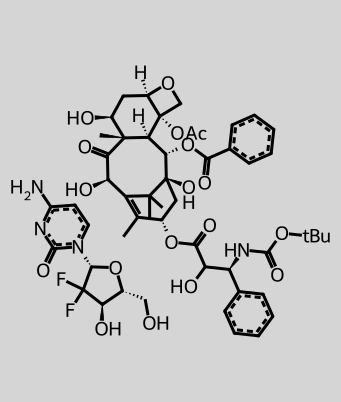 CC(=O)O[C@@]12CO[C@@H]1C[C@H](O)[C@@]1(C)C(=O)[C@H](O)C3=C(C)[C@@H](OC(=O)C(O)[C@@H](NC(=O)OC(C)(C)C)c4ccccc4)C[C@@](O)([C@@H](OC(=O)c4ccccc4)[C@H]21)C3(C)C.Nc1ccn([C@@H]2O[C@H](CO)[C@@H](O)C2(F)F)c(=O)n1